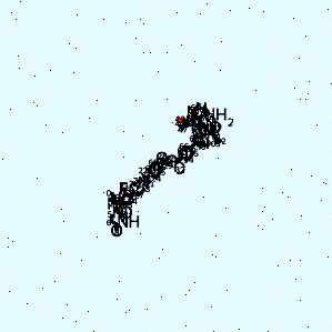 Cn1nc(N2CCC(=O)NC2=O)c2ccc(N3CCN(C(C)(C)C4CCN(C(=O)COC(=O)N5CCC(c6cnc(-c7c(-c8nn(C9%10CC(C9)C%10)c9ncnc(N)c89)noc7C7CC7)nc6)CC5)CC4)CC3)c(F)c21